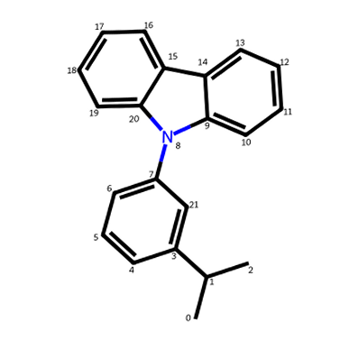 CC(C)c1cccc(-n2c3ccccc3c3ccccc32)c1